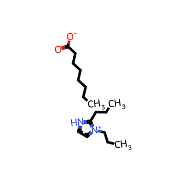 CCCCCCCC(=O)[O-].CCCc1[nH]cc[n+]1CCC